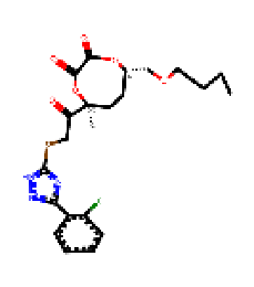 CCCCOC[C@@H]1CC[C@@](C)(C(=O)CSc2nc(-c3ccccc3Cl)n[nH]2)OC(=O)C(=O)O1